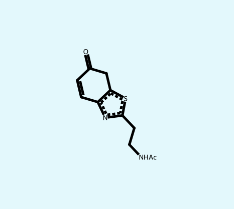 CC(=O)NCCc1nc2c(s1)CC(=O)C=C2